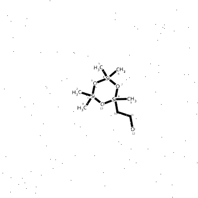 C[Si]1(C)O[Si](C)(C)O[Si](C)(CC[O])O1